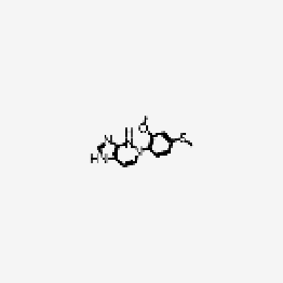 COc1cc(SC)ccc1N1C=Cc2[nH]cnc2N1